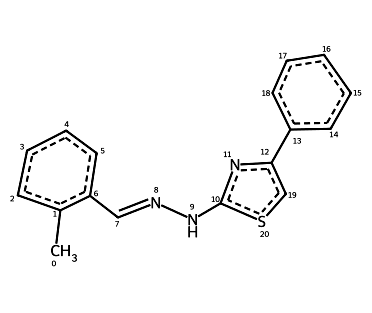 Cc1ccccc1/C=N/Nc1nc(-c2ccccc2)cs1